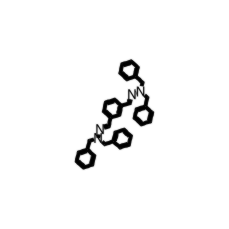 C(=NN(Cc1ccccc1)Cc1ccccc1)c1cccc(C=NN(Cc2ccccc2)Cc2ccccc2)c1